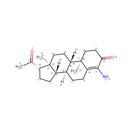 CC(=O)[C@H]1CC[C@H]2[C@@H]3CCC4=C(N)C(=O)CC[C@]4(C)[C@H]3CC[C@]12C